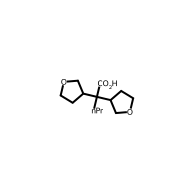 CCCC(C(=O)O)(C1CCOC1)C1CCOC1